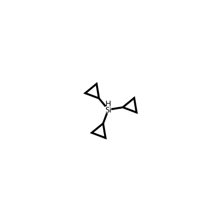 C1CC1[SiH](C1CC1)C1CC1